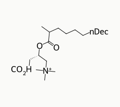 CCCCCCCCCCCCCCC(C)C(=O)O[C@@H](CC(=O)O)C[N+](C)(C)C